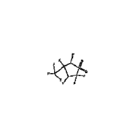 O=S1(=O)C(F)C(F)(C(F)(F)F)C(F)C1(F)F